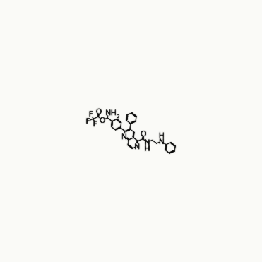 NC(OC(=O)C(F)(F)F)c1ccc(-c2nc3ccnc(C(=O)NCCNc4ccccc4)c3cc2-c2ccccc2)cc1